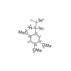 [2H]C(C)C([2H])([2H])c1cc(OC)c(OC)cc1OC